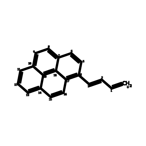 C=CC=Cc1ccc2ccc3cccc4ccc1c2c34